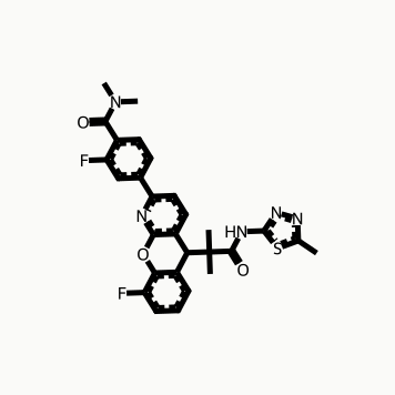 Cc1nnc(NC(=O)C(C)(C)C2c3ccc(-c4ccc(C(=O)N(C)C)c(F)c4)nc3Oc3c(F)cccc32)s1